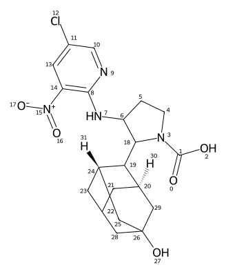 O=C(O)N1CCC(Nc2ncc(Cl)cc2[N+](=O)[O-])C1C1[C@@H]2CC3C[C@H]1CC(O)(C3)C2